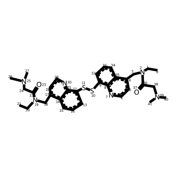 CCN(Cc1ccnc2c(SSc3cccc4c(CN(CC)C(=O)CN(C)C)ccnc34)cccc12)C(=O)CN(C)C